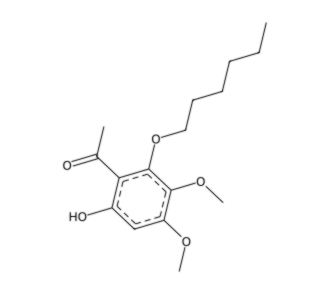 CCCCCCOc1c(OC)c(OC)cc(O)c1C(C)=O